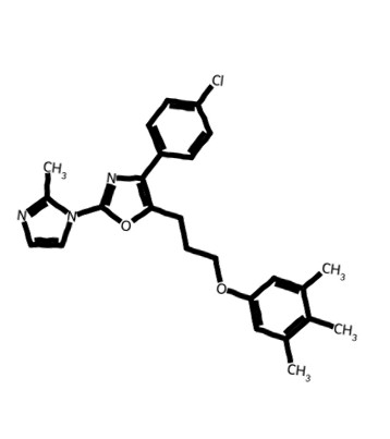 Cc1cc(OCCCc2oc(-n3ccnc3C)nc2-c2ccc(Cl)cc2)cc(C)c1C